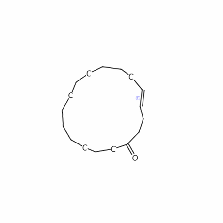 O=C1CC/C=C/CCCCCCCCCCCC1